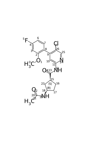 COc1cc(F)ccc1-c1cc(NC(=O)[C@H]2CC[C@@H](NC(C)=O)C2)ncc1Cl